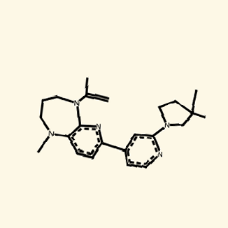 C=C(C)N1CCCN(C)c2ccc(-c3ccnc(N4CCC(C)(C)C4)c3)nc21